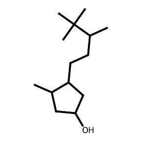 CC1CC(O)CC1CCC(C)C(C)(C)C